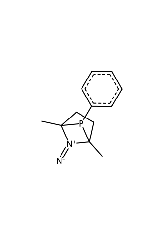 CC12CCC(C)([N+]1=[N-])P2c1ccccc1